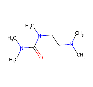 CN(C)CCN(C)C(=O)N(C)C